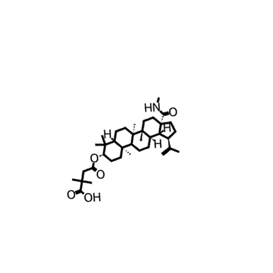 C=C(C)[C@@H]1CC[C@]2(C(=O)NC)CC[C@]3(C)[C@H](CCC4[C@@]5(C)CC[C@H](OC(=O)CC(C)(C)C(=O)O)C(C)(C)[C@@H]5CC[C@]43C)[C@@H]12